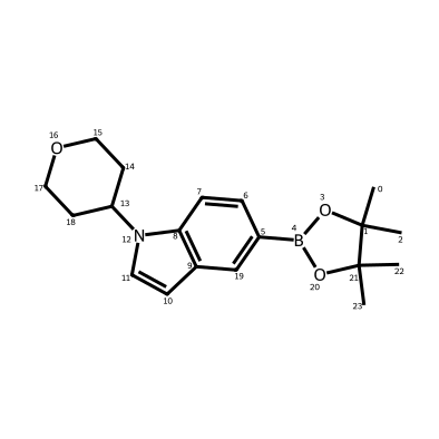 CC1(C)OB(c2ccc3c(ccn3C3CCOCC3)c2)OC1(C)C